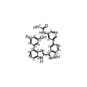 CCCC(=O)Nc1cncc(-c2cc3c(-c4nc5c(-c6cc(O)cc(F)c6)cncc5[nH]4)n[nH]c3cn2)c1